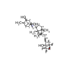 C=C1C2C[C@@H](O)C[C@]1(O)C2/C=C/[C@@H]1CC[C@](C)([C@@H](C)CC#CC(O)(C(F)(F)F)C(F)(F)F)C1(C)C